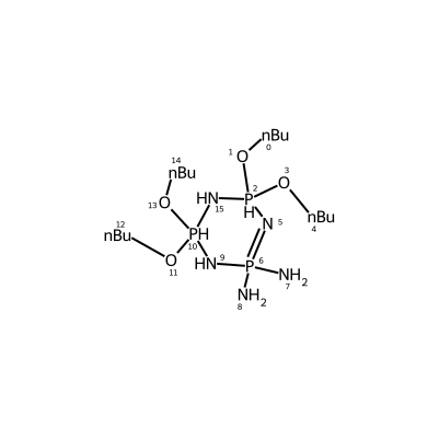 CCCCO[PH]1(OCCCC)N=P(N)(N)N[PH](OCCCC)(OCCCC)N1